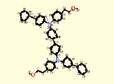 COCCc1ccc(N(c2ccc(-c3ccccc3)cc2)c2ccc(-c3ccc(N(c4ccc(CCOC)cc4)c4ccc(-c5ccccc5)cc4)cc3)cc2)cc1